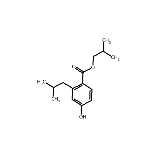 CC(C)COC(=O)c1ccc(O)cc1CC(C)C